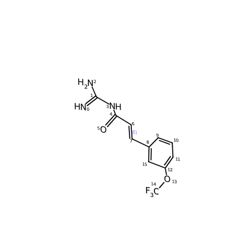 N=C(N)NC(=O)/C=C/c1cccc(OC(F)(F)F)c1